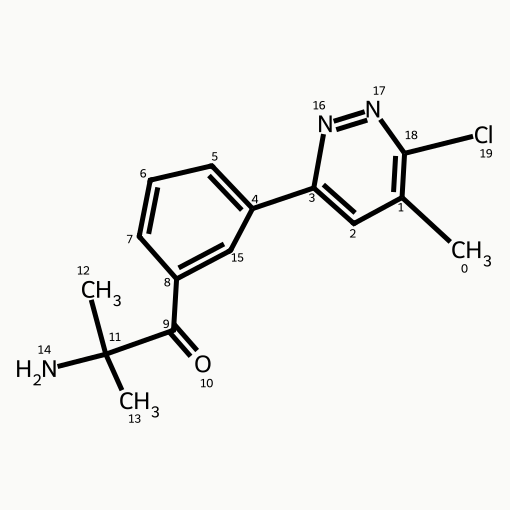 Cc1cc(-c2cccc(C(=O)C(C)(C)N)c2)nnc1Cl